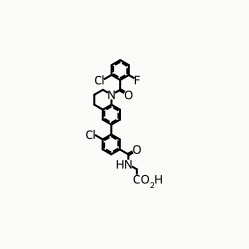 O=C(O)CNC(=O)c1ccc(Cl)c(-c2ccc3c(c2)CCCN3C(=O)c2c(F)cccc2Cl)c1